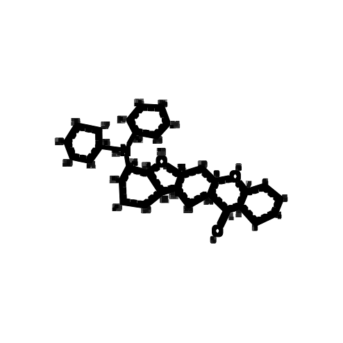 O=c1c2ccccc2oc2cc3oc4c(N(c5ccccc5)c5ccccc5)cccc4c3cc12